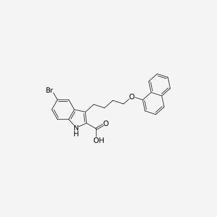 O=C(O)c1[nH]c2ccc(Br)cc2c1CCCCOc1cccc2ccccc12